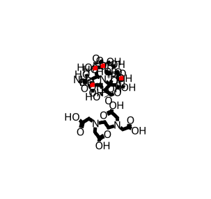 N.O=C(O)CN(CCN(CC(=O)O)CC(=O)O)CC(=O)O.O=P(O)(O)C([N+](C(P(=O)(O)O)P(=O)(O)O)(C(P(=O)(O)O)P(=O)(O)O)C1(P(=O)(O)O)CCOP1(=O)O)P(=O)(O)O